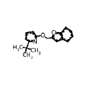 CC(C)(C)c1cccc(OCc2cc3ccccc3o2)n1